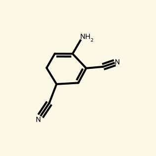 N#CC1=CC(C#N)CC=C1N